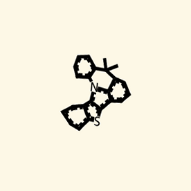 CC1(C)c2ccccc2-n2c3c1cccc3c1sc3ccccc3c12